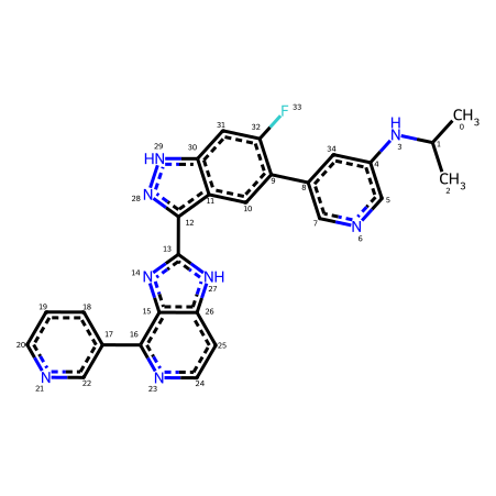 CC(C)Nc1cncc(-c2cc3c(-c4nc5c(-c6cccnc6)nccc5[nH]4)n[nH]c3cc2F)c1